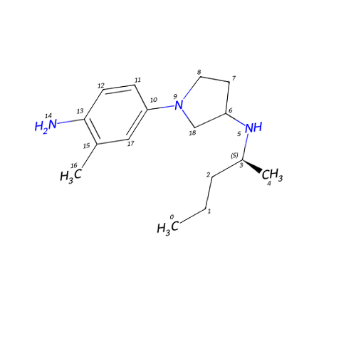 CCC[C@H](C)NC1CCN(c2ccc(N)c(C)c2)C1